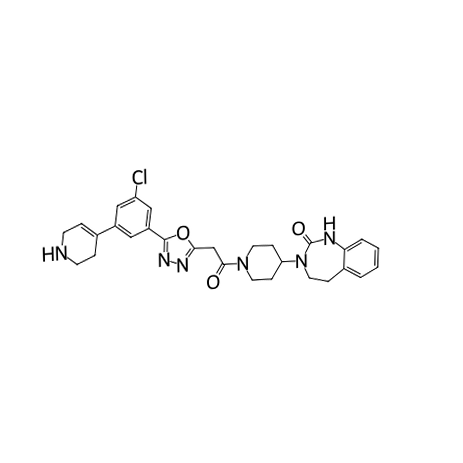 O=C(Cc1nnc(-c2cc(Cl)cc(C3=CCNCC3)c2)o1)N1CCC(N2CCc3ccccc3NC2=O)CC1